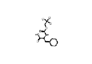 O=C(NC(C=C1CCCCC1)C(=O)O)OCC(Cl)(Cl)Cl